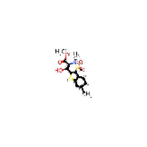 COC(=O)C1=C(O)c2sc3cc(C)ccc3c2S(=O)(=O)N1C